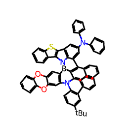 CC(C)(C)c1ccc(N2c3cc4c(cc3B3c5c2cc2ccccc2c5-c2cc(N(c5ccccc5)c5ccccc5)cc5c6sc7ccccc7c6n3c25)Oc2ccccc2O4)c(-c2ccccc2)c1